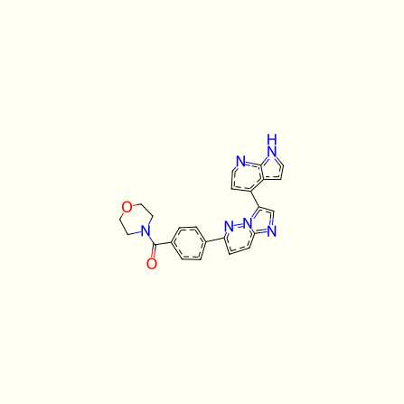 O=C(c1ccc(-c2ccc3ncc(-c4ccnc5[nH]ccc45)n3n2)cc1)N1CCOCC1